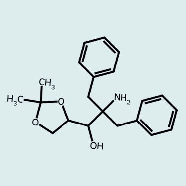 CC1(C)OCC(C(O)C(N)(Cc2ccccc2)Cc2ccccc2)O1